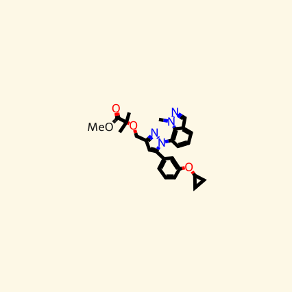 COC(=O)C(C)(C)OCc1cc(-c2cccc(OC3CC3)c2)n(-c2cccc3cnn(C)c23)n1